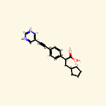 O=C(O)C(CC1CCCC1)c1ccc(C#Cc2cncnc2)cc1